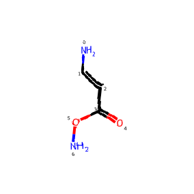 NC=CC(=O)ON